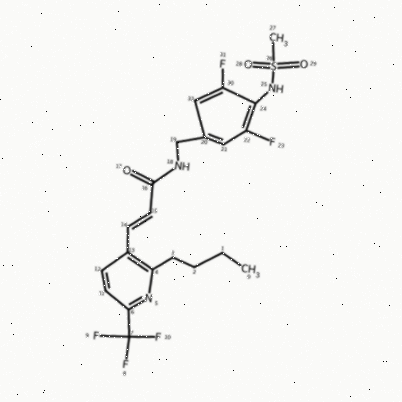 CCCCc1nc(C(F)(F)F)ccc1C=CC(=O)NCc1cc(F)c(NS(C)(=O)=O)c(F)c1